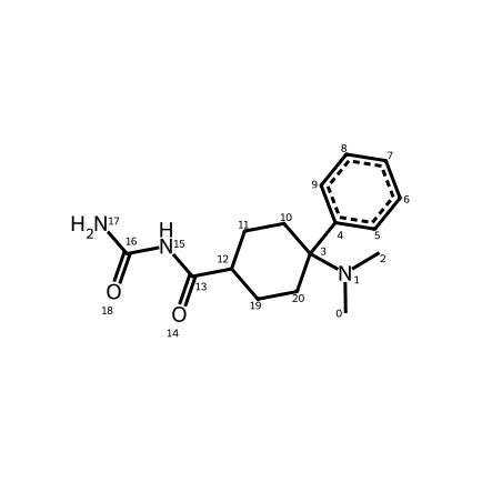 CN(C)C1(c2ccccc2)CCC(C(=O)NC(N)=O)CC1